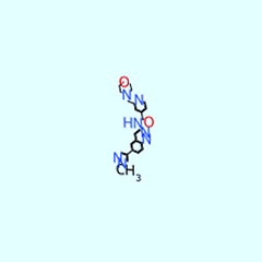 Cn1cc(-c2ccc3nnc(NC(=O)c4ccnc(CN5CCOCC5)c4)cc3c2)cn1